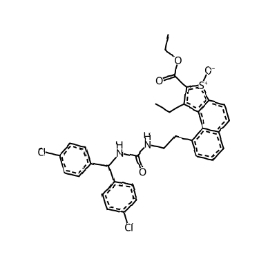 CCOC(=O)c1c(CC)c2c3c(CCNC(=O)NC(c4ccc(Cl)cc4)c4ccc(Cl)cc4)cccc3ccc2[s+]1[O-]